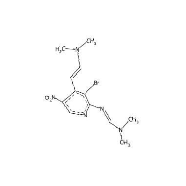 CN(C)C=Nc1ncc([N+](=O)[O-])c(/C=C/N(C)C)c1Br